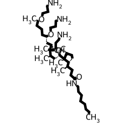 CCCCCCCCNC(=O)CC[C@@H](C)[C@H]1CC[C@@H](C)[C@]1(C)[C@H](C[C@@H](C)C(C)(C)CC[C@H](CCC[C@H](C)OCCCN)OCCCN)OCCCN